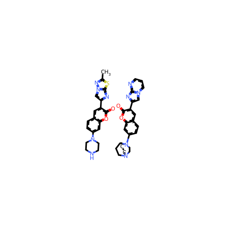 Cc1nn2cc(-c3cc4ccc(N5CCNCC5)cc4oc3=O)nc2s1.O=c1oc2cc(N3CCN4CCC3CC4)ccc2cc1-c1cn2cccnc2n1